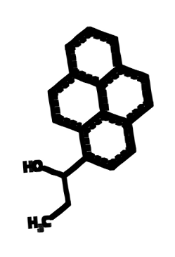 CCC(O)c1ccc2ccc3cccc4ccc1c2c34